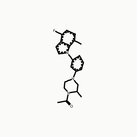 CC(=O)N1CCN(c2cccc(-n3ccc4c(F)ccc(C)c43)c2)CC1C